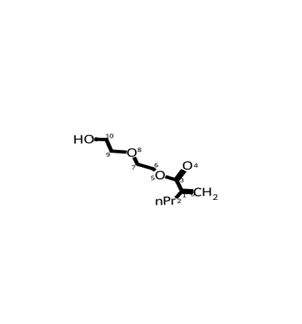 C=C(CCC)C(=O)OCCOCCO